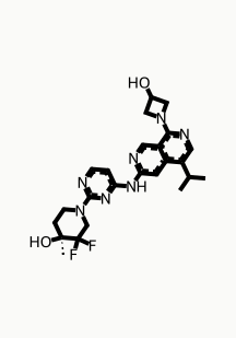 CC(C)c1cnc(N2CC(O)C2)c2cnc(Nc3ccnc(N4CC[C@](C)(O)C(F)(F)C4)n3)cc12